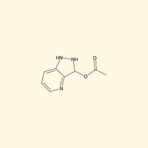 CC(=O)OC1NNc2cccnc21